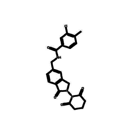 Cc1ccc(C(=O)NCc2ccc3c(c2)CN(N2C(=O)CCCC2=O)C3=O)cc1Cl